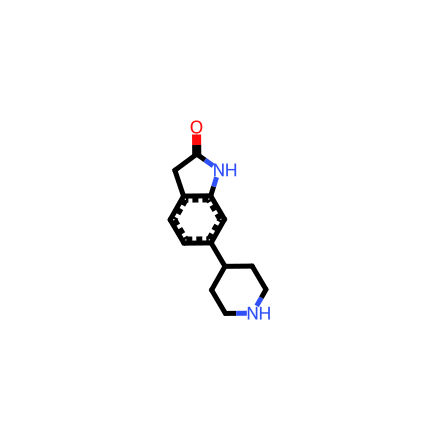 O=C1Cc2ccc(C3CCNCC3)cc2N1